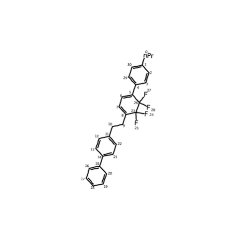 CCCc1ccc(C2=CC=C(CCc3ccc(-c4ccccc4)cc3)C(F)(F)C2(F)F)cc1